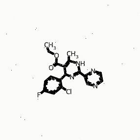 CCOC(=O)C1=C(C)NC(c2cnccn2)=NC1c1ccc(F)cc1Cl